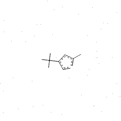 Cc1cc(C(F)(F)F)co1